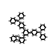 c1ccc(N(c2ccccc2)c2ccc(-c3cc(-c4ccc(N(c5ccccc5)c5ccccc5)cc4)cc(-c4cccc5c4oc4ccccc45)c3)cc2)cc1